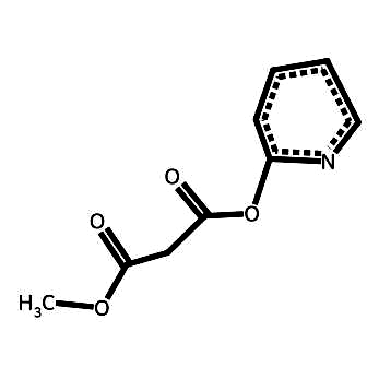 COC(=O)CC(=O)Oc1ccccn1